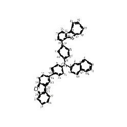 c1ccc2cc(N(c3ccc(-c4ccc5oc6ccccc6c5c4)cc3)c3ccc(-c4cccc5c4sc4ccccc45)cc3)ccc2c1